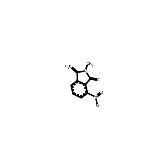 C=C1c2cccc([N+](=O)[O-])c2C(=O)N1C